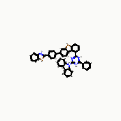 c1ccc(-c2nc(-c3cccc4sc5cc(-c6ccc(-c7nc8ccccc8s7)cc6)ccc5c34)nc(-n3c4ccccc4c4ccccc43)n2)cc1